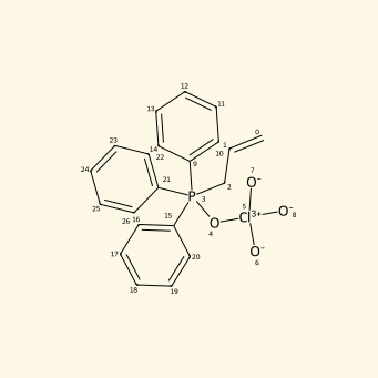 C=CCP(O[Cl+3]([O-])([O-])[O-])(c1ccccc1)(c1ccccc1)c1ccccc1